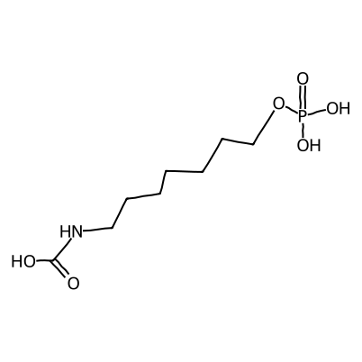 O=C(O)NCCCCCCCOP(=O)(O)O